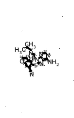 CC(C)CNCCn1c(Sc2cc3ccoc3cc2C#N)nc2c(N)ncnc21